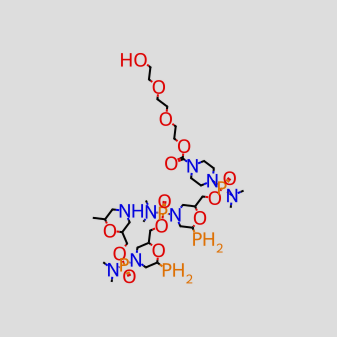 CC1CNCC(COP(=O)(N(C)C)N2CC(P)OC(COP(=O)(N(C)C)N3CC(P)OC(COP(=O)(N(C)C)N4CCN(C(=O)OCCOCCOCCO)CC4)C3)C2)O1